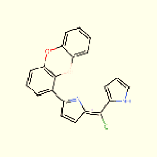 Cl/C(=C1\C=CC(c2cccc3c2Bc2ccccc2O3)=N1)c1ccc[nH]1